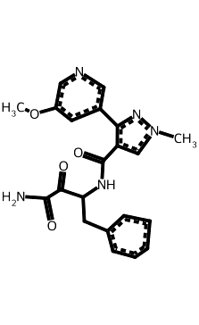 COc1cncc(-c2nn(C)cc2C(=O)NC(Cc2ccccc2)C(=O)C(N)=O)c1